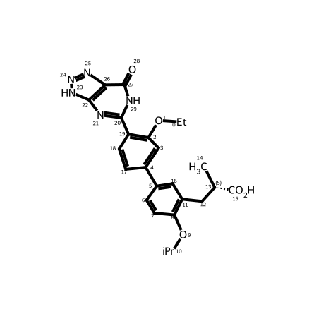 CCOc1cc(-c2ccc(OC(C)C)c(C[C@H](C)C(=O)O)c2)ccc1-c1nc2[nH]nnc2c(=O)[nH]1